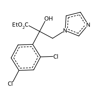 CCOC(=O)C(O)(Cn1ccnc1)c1ccc(Cl)cc1Cl